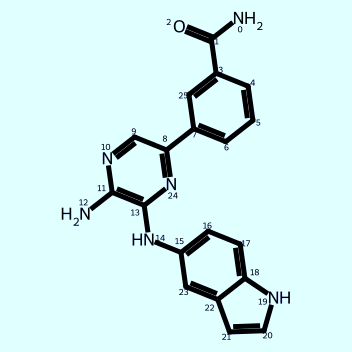 NC(=O)c1cccc(-c2cnc(N)c(Nc3ccc4[nH]ccc4c3)n2)c1